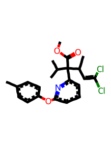 COC(=O)C(c1cccc(Oc2ccc(C)cc2)n1)(C(C)C)C(C)C=C(Cl)Cl